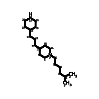 CC(C)CCCCN1CCC(CCCC2CCNCC2)CC1